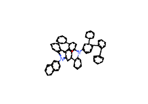 c1ccc(-c2ccc(N(c3ccc(-c4ccccc4-c4ccccc4)c(-c4ccccc4)c3)c3ccccc3-c3ccc4c5ccccc5n(-c5ccc6ccccc6c5)c4c3)cc2)cc1